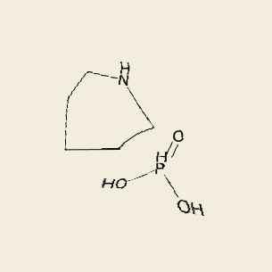 C1CCNCC1.O=[PH](O)O